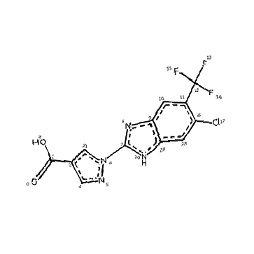 O=C(O)c1cnn(-c2nc3cc(C(F)(F)F)c(Cl)cc3[nH]2)c1